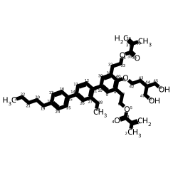 C=C(C)C(=O)OCCc1cc(-c2ccc(-c3ccc(CCCCC)cc3)cc2CC)cc(CCOC(=O)C(=C)C)c1OCCC(CO)CO